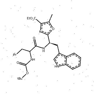 CCOC(=O)c1nc([C@@H](Cc2c[nH]c3ccccc23)NC(=O)C(CC(C)C)NC(=O)OC(C)(C)C)oc1C